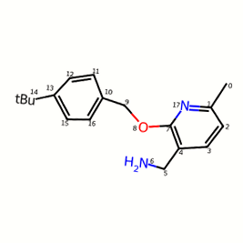 Cc1ccc(CN)c(OCc2ccc(C(C)(C)C)cc2)n1